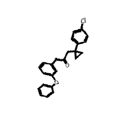 O=C(Cc1cccc(Oc2ccccc2)c1)CC1(c2ccc(Cl)cc2)CC1